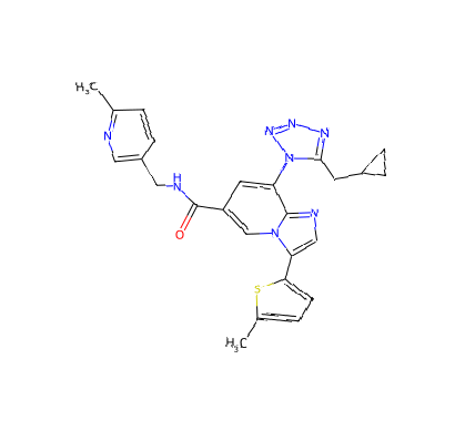 Cc1ccc(CNC(=O)c2cc(-n3nnnc3CC3CC3)c3ncc(-c4ccc(C)s4)n3c2)cn1